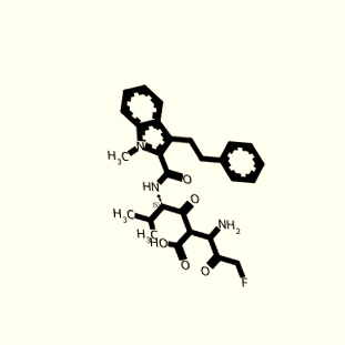 CC(C)[C@H](NC(=O)c1c(CCc2ccccc2)c2ccccc2n1C)C(=O)C(C(=O)O)C(N)C(=O)CF